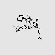 C#Cc1cc(OCCOC(C)=O)cc([C@H](Nc2ccc(C(=N)N)cc2)c2nn(-c3ncccn3)c(=O)[nH]2)c1